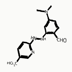 CN(C)c1ccc(C=O)c(NNc2ccc(C(=O)O)cn2)c1